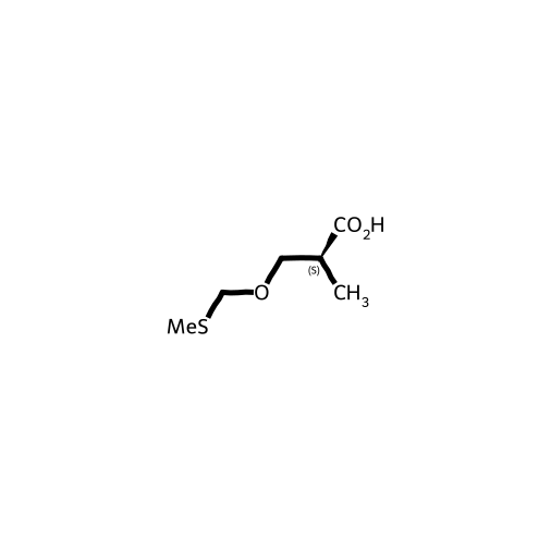 CSCOC[C@H](C)C(=O)O